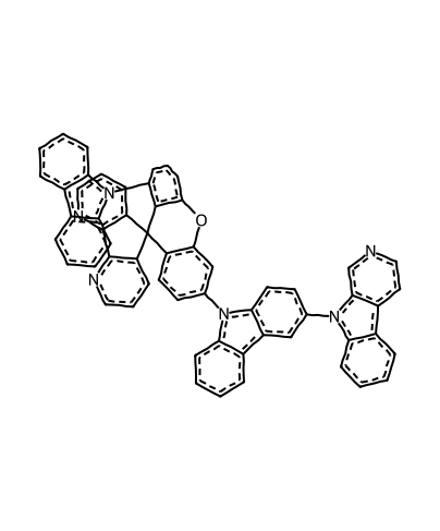 c1cc2c(c(-n3c4ccccc4c4ccccc43)c1)C1(c3ccc(-n4c5ccccc5c5cc(-n6c7ccccc7c7ccncc76)ccc54)cc3O2)c2cccnc2-c2ncccc21